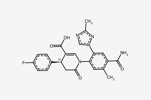 Cc1ncn(-c2cc(C(N)=O)c(C)cc2N2C=C(C(=O)O)[C@H](c3ccc(F)cc3)CC2=O)n1